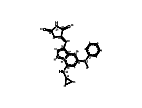 CN(c1ccccc1)c1cc(NC2CC2)n2ncc(C=C3CC(=O)NC3=O)c2n1